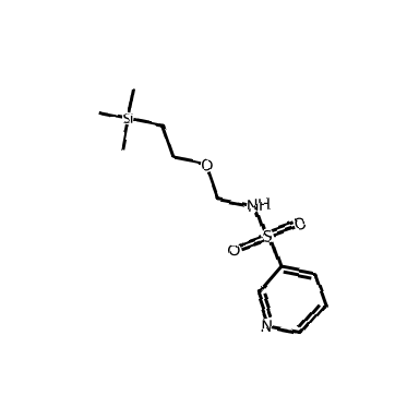 C[Si](C)(C)CCOCNS(=O)(=O)c1cccnc1